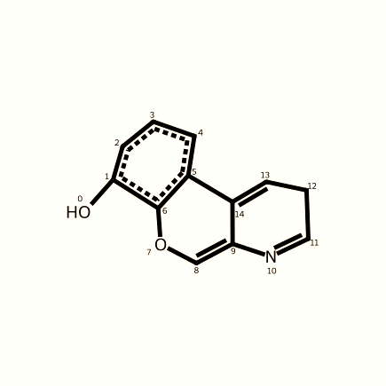 Oc1cccc2c1OC=C1N=CCC=C12